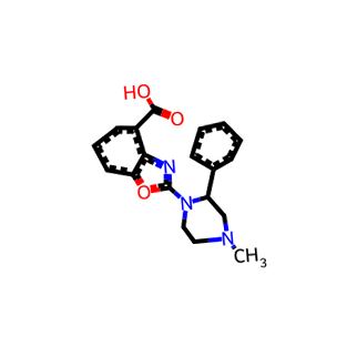 CN1CCN(c2nc3c(C(=O)O)cccc3o2)C(c2ccccc2)C1